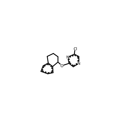 Clc1cncc(OC2CCCc3ccccc32)n1